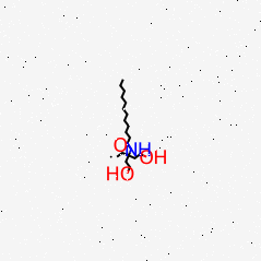 [CH2]CC(CCO)(CCO)NC(=O)CCCCCCCCCCC